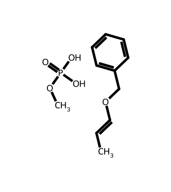 CC=COCc1ccccc1.COP(=O)(O)O